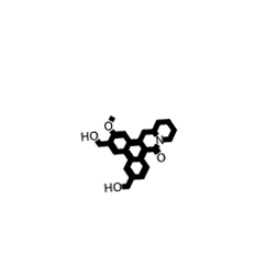 COc1cc2c3c(c4ccc(CO)cc4c2cc1CO)C(=O)N1CCCCC1C3